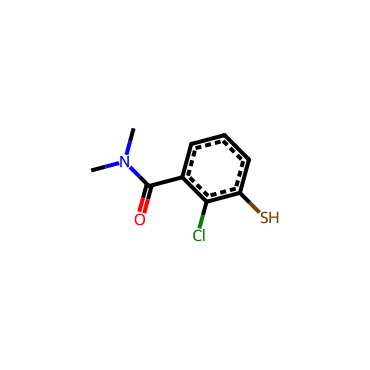 CN(C)C(=O)c1cccc(S)c1Cl